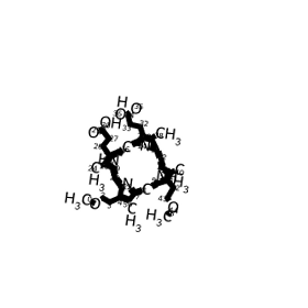 COCCC1=C(C)c2cc3[nH]c(cc4nc(cc5[nH]c(cc1n2)c(C)c5CCC(=O)O)C(CCC(=O)O)=C4C)c(C)c3CCOC